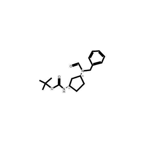 CC(C)(C)OC(=O)N[C@H]1CC[C@@H](N(C=O)Cc2ccccc2)C1